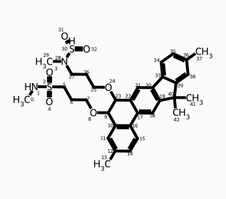 CNS(=O)(=O)CCCOC1c2cc(C)ccc2-c2cc3c(cc2C1OCCCN(C)[SH](=O)=O)-c1ccc(C)cc1C3(C)C